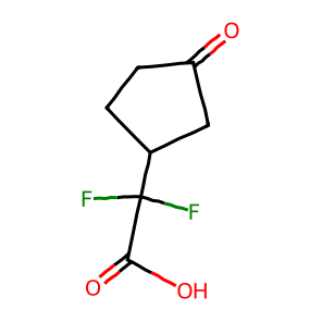 O=C1CCC(C(F)(F)C(=O)O)C1